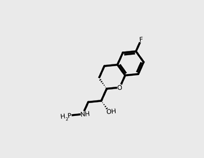 O[C@H](CNP)[C@@H]1CCc2cc(F)ccc2O1